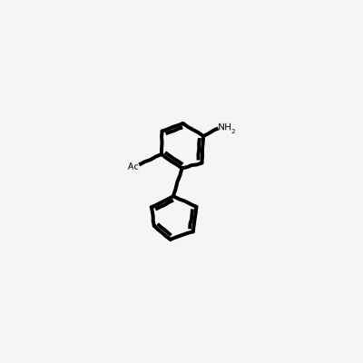 CC(=O)c1ccc(N)cc1-c1ccccc1